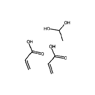 C=CC(=O)O.C=CC(=O)O.CC(O)O